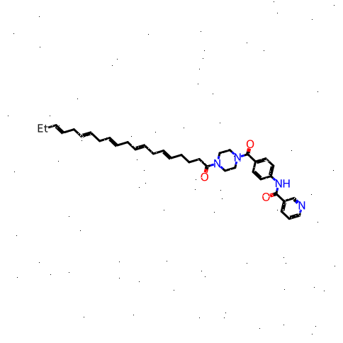 CCC=CCC=CCC=CCC=CCC=CCCCC(=O)N1CCN(C(=O)c2ccc(NC(=O)c3cccnc3)cc2)CC1